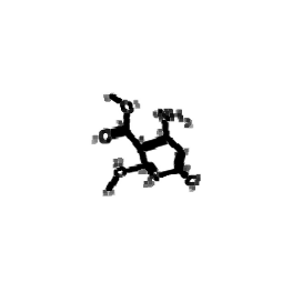 COC(=O)c1c(N)cc(Cl)nc1OC